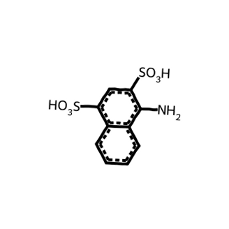 Nc1c(S(=O)(=O)O)cc(S(=O)(=O)O)c2ccccc12